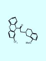 COc1cccc2c1CN(CC(=O)N1c3ccccc3Sc3ccc(C(F)(F)F)cc31)CC2